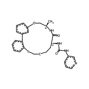 C[C@@H]1COc2cccc(c2)-c2ccccc2SCCCC[C@H](NC(=O)Nc2cccnc2)C(=O)N1